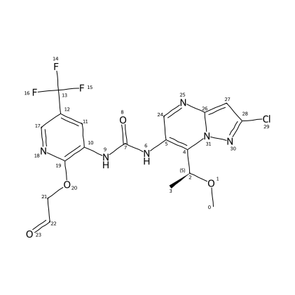 CO[C@@H](C)c1c(NC(=O)Nc2cc(C(F)(F)F)cnc2OCC=O)cnc2cc(Cl)nn12